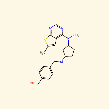 Cc1cc2c(N(C)C3CCC(NCc4ccc(C=O)cc4)C3)ncnc2s1